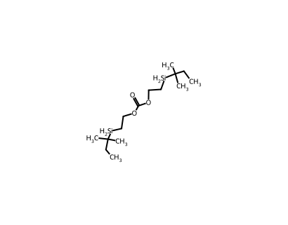 CCC(C)(C)[SiH2]CCOC(=O)OCC[SiH2]C(C)(C)CC